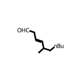 CCCCCC(C)C=CCC=O